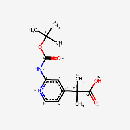 CC(C)(C)OC(=O)Nc1cc(C(C)(C)C(=O)O)ccn1